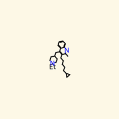 CCN1CCC(Cc2c(CCCCCC3CC3)c(C)nc3ccccc23)CC1